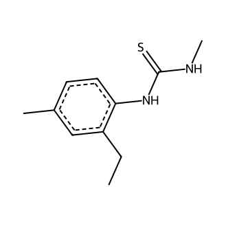 CCc1cc(C)ccc1NC(=S)NC